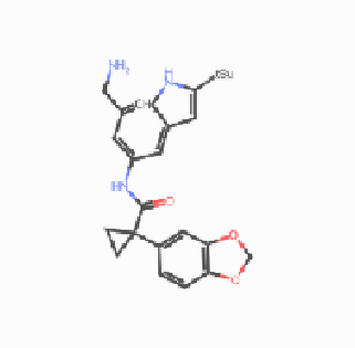 C=C(/C=C(\C=C1\C=C(C(C)(C)C)NC1)NC(=O)C1(c2ccc3c(c2)OCO3)CC1)CN